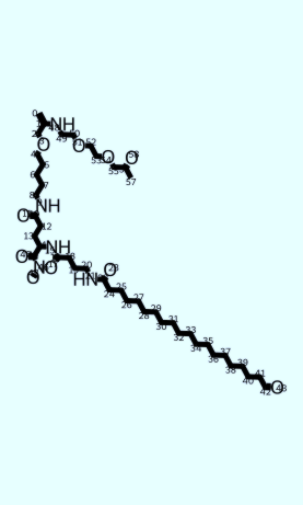 C=C(COCCCCCNC(=O)CCC(NC(=O)CCCNC(=O)CCCCCCCCCCCCCCCCCCC=O)C(=O)N=O)NCCOCCOCC(C)=O